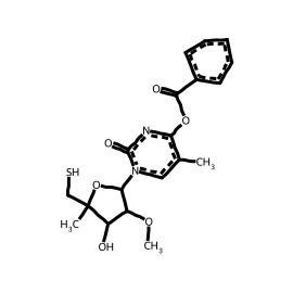 COC1C(n2cc(C)c(OC(=O)c3ccccc3)nc2=O)OC(C)(CS)C1O